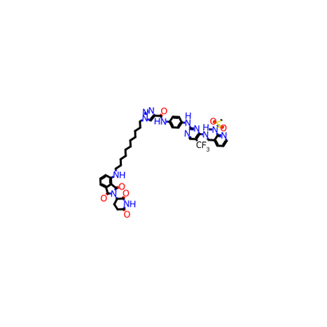 CN(c1ncccc1CNc1nc(Nc2ccc(NC(=O)c3cn(CCCCCCCCCCCNc4cccc5c4C(=O)N(C4CCC(=O)NC4=O)C5=O)nn3)cc2)ncc1C(F)(F)F)S(C)(=O)=O